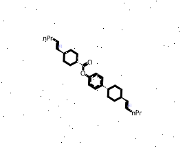 CCC/C=C/[C@H]1CC[C@H](C(=O)Oc2ccc([C@H]3CC[C@H](/C=C/CCC)CC3)cc2)CC1